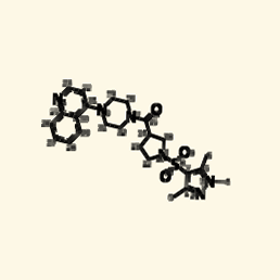 Cc1nn(C)c(C)c1S(=O)(=O)N1CCC(C(=O)N2CCN(c3ccnc4ccccc34)CC2)C1